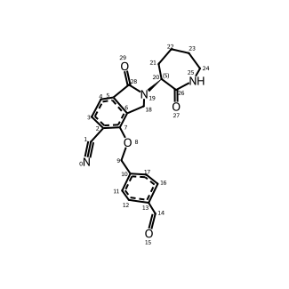 N#Cc1ccc2c(c1OCc1ccc(C=O)cc1)CN([C@H]1CCCCNC1=O)C2=O